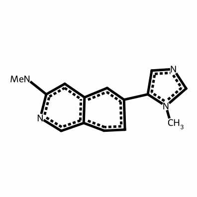 CNc1cc2cc(-c3cncn3C)ccc2cn1